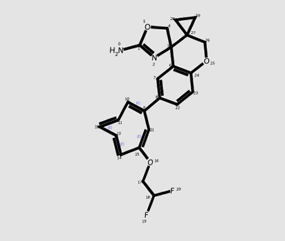 NC1=NC2(CO1)c1cc(C3=C/C=C/C=C/C(OCC(F)F)=C\3)ccc1OCC21CC1